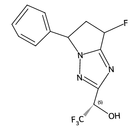 O[C@@H](c1nc2n(n1)C(c1ccccc1)CC2F)C(F)(F)F